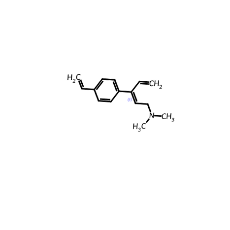 C=C/C(=C\CN(C)C)c1ccc(C=C)cc1